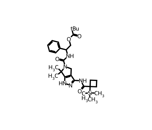 CC(C)(C)C(=O)OCC(NC(=O)N1Cc2c(NC(=O)C3([Si](C)(C)C)CCC3)n[nH]c2C1(C)C)c1ccccc1